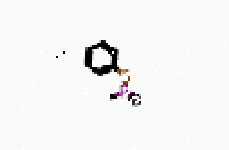 B#P(C)Sc1ccccc1